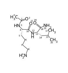 CC(=O)N[C@@H](CCCCN)C(=O)N[C@@H](CC(C)C)C(N)=O